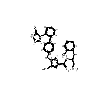 CCCc1cc(C(=O)NC(CC(=O)O)Cc2ccccc2Cl)nn1Cc1ccc(-c2ccccc2-n2nn[nH]c2=O)cc1